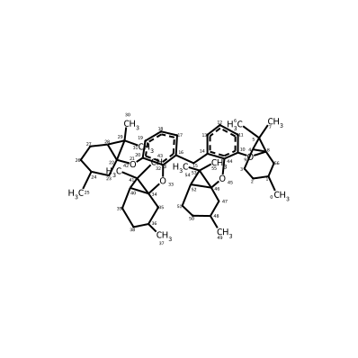 CC1CCC2C(C)(C)C2(Oc2cccc(Cc3cccc(OC45CC(C)CCC4C5(C)C)c3OC34CC(C)CCC3C4(C)C)c2OC23CC(C)CCC2C3(C)C)C1